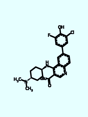 CN(C)[C@H]1CC[C@H](Nc2c(C(=O)C(C)(C)C)cnc3ccc(-c4cc(F)c(O)c(Cl)c4)cc23)CC1